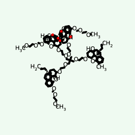 C=CCN1CC[C@]23c4c5ccc(C)c4OC2C(OCCOCC(COCCOC2CC[C@@]4(O)C6Cc7ccc(OCOCCOC)c8c7[C@@]4(CCN6CC=C)C2O8)(COCCOC2CC[C@@]4(O)C6Cc7ccc(OCOCCOC)c8c7[C@@]4(CCN6CC=C)[C@H]2O8)COCCOC2CC[C@@]4(O)C6Cc7ccc(OCOCCOC)c8c7[C@@]4(CCN6CC=C)[C@H]2O8)CC[C@@]3(O)C1C5